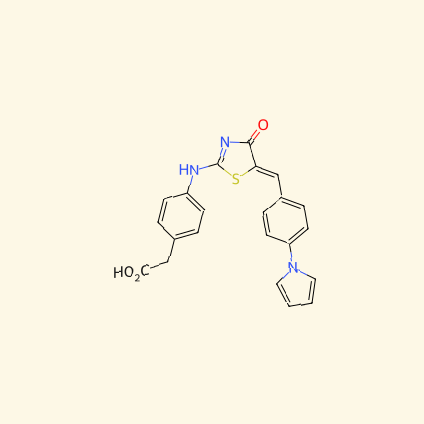 O=C(O)Cc1ccc(NC2=NC(=O)C(=Cc3ccc(-n4cccc4)cc3)S2)cc1